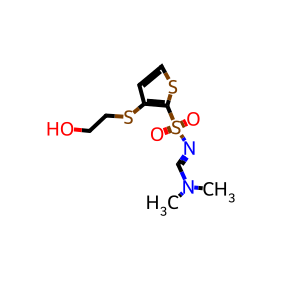 CN(C)C=NS(=O)(=O)c1sccc1SCCO